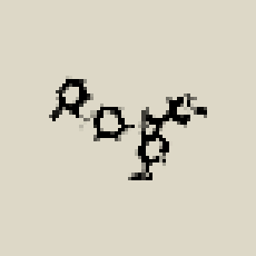 CNc1cc2c(cn1)c(-c1cnn(C)c1)nn2[C@H]1CC[C@@H](Oc2cccnc2F)CC1